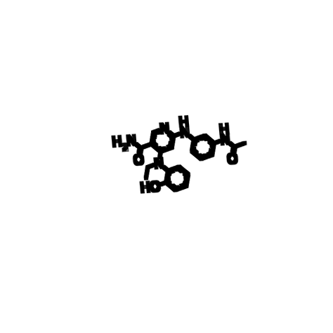 CCN(c1ccccc1O)c1cc(Nc2cccc(NC(C)=O)c2)ncc1C(N)=O